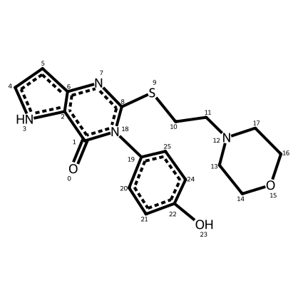 O=c1c2[nH]ccc2nc(SCCN2CCOCC2)n1-c1ccc(O)cc1